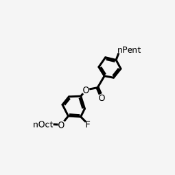 CCCCCCCCOc1ccc(OC(=O)c2ccc(CCCCC)cc2)cc1F